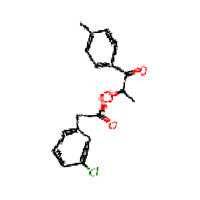 Cc1ccc(C(=O)C(C)OC(=O)Cc2cccc(Cl)c2)cc1